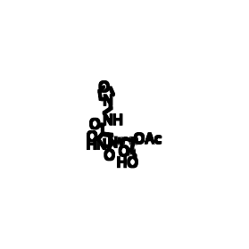 CC(=O)O[C@@H]1C[C@H](n2cc(C(=O)NCCN3CCOCC3)c(=O)[nH]c2=O)O[C@@H]1CO